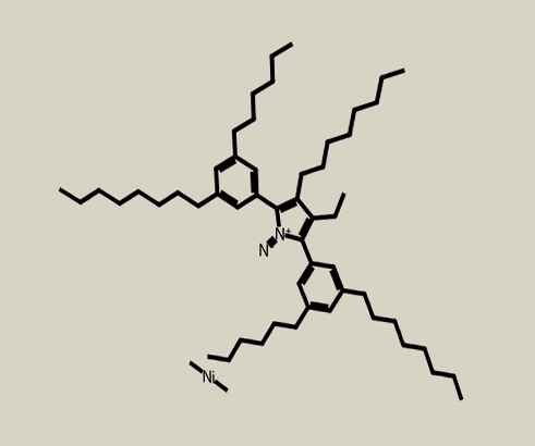 CCCCCCCCC1=C(c2cc(CCCCCC)cc(CCCCCCCC)c2)[N+](=[N-])C(c2cc(CCCCCC)cc(CCCCCCCC)c2)=C1CC.[CH3][Ni][CH3]